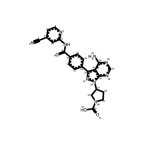 N#Cc1ccnc(NC(=O)c2ccc(-c3nn(C4CCN(C(=O)O)C4)c4ncnc(N)c34)cc2)c1